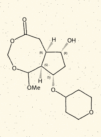 COC1OCOC(=O)C[C@@H]2[C@H]1[C@@H](OC1CCOCC1)C[C@H]2O